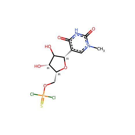 Cn1cc([C@@H]2O[C@H](COP(=S)(Cl)Cl)[C@H](O)C2O)c(=O)[nH]c1=O